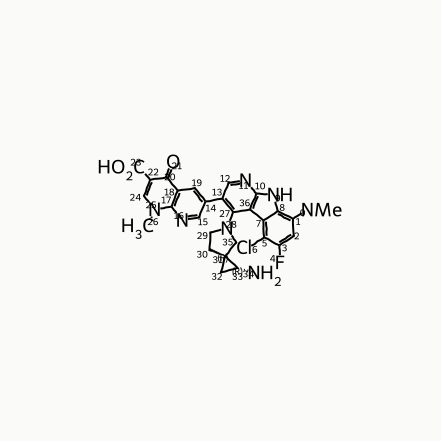 CNc1cc(F)c(Cl)c2c1[nH]c1ncc(-c3cnc4c(c3)c(=O)c(C(=O)O)cn4C)c(N3CC[C@@]4(C[C@H]4N)C3)c12